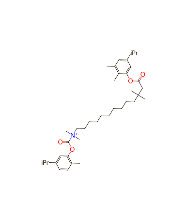 Cc1ccc(C(C)C)cc1OC(=O)[N+](C)(C)CCCCCCCCCCC(C)(C)CC(=O)Oc1cc(C(C)C)cc(C)c1C